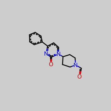 O=CN1CCC(n2ccc(-c3ccccc3)nc2=O)CC1